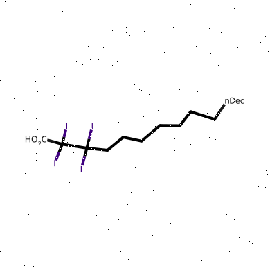 CCCCCCCCCCCCCCCCCC(I)(I)C(I)(I)C(=O)O